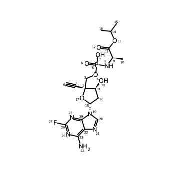 C#C[C@]1(COP(=O)(O)N[C@H](C)C(=O)OC(C)C)O[C@@H](n2cnc3c(N)nc(F)nc32)C[C@@H]1O